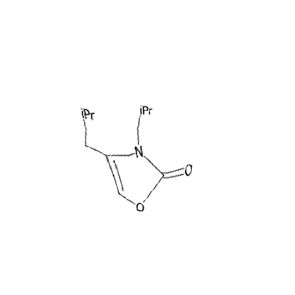 CC(C)Cc1coc(=O)n1C(C)C